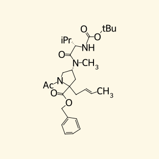 CC=CCC1(C(=O)OCc2ccccc2)C[C@@H](N(C)C(=O)[C@@H](NC(=O)OC(C)(C)C)C(C)C)CN1C(C)=O